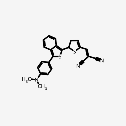 CN(C)c1ccc(-c2sc(C3CC=C(C=C(C#N)C#N)S3)c3ccccc23)cc1